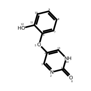 O=c1ncc(Oc2ccccc2O)c[nH]1